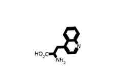 NC(Cc1ccnc2ccccc12)C(=O)O